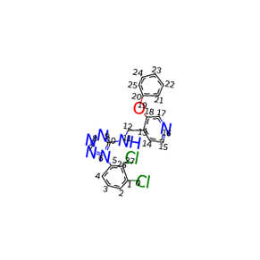 Clc1cccc(-n2nnnc2NCc2ccncc2Oc2ccccc2)c1Cl